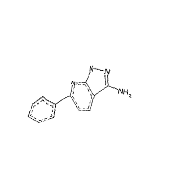 NC1=N[N]c2nc(-c3ccccc3)ccc21